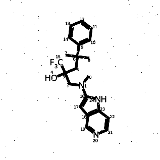 CN(CC(O)(CC(C)(C)c1ccccc1)C(F)(F)F)c1cc2cnccc2[nH]1